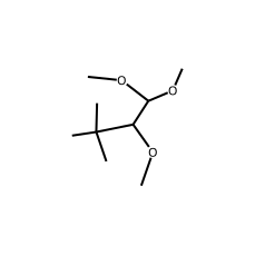 COC(OC)C(OC)C(C)(C)C